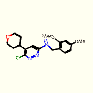 COc1ccc(CNc2cc(C3CCOCC3)c(Cl)nn2)c(OC)c1